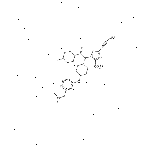 CC1CCC(C(=O)N(c2cc(C#CC(C)(C)C)sc2C(=O)O)C2CCC(Oc3ccnc(CN(C)C)c3)CC2)CC1